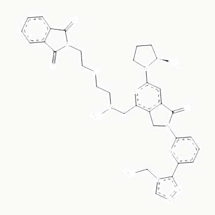 CCn1cnnc1-c1cccc(N2Cc3c(cc(N4CCC[C@H]4C)nc3CN(C)CCOCCN3C(=O)c4ccccc4C3=O)C2=O)n1